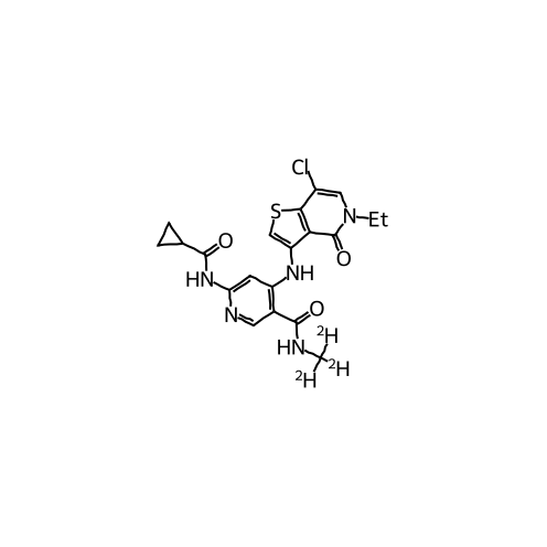 [2H]C([2H])([2H])NC(=O)c1cnc(NC(=O)C2CC2)cc1Nc1csc2c(Cl)cn(CC)c(=O)c12